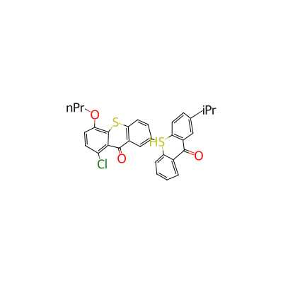 CCCOc1ccc(Cl)c2c(=O)c3cc([SH]4c5ccccc5C(=O)c5cc(C(C)C)ccc54)ccc3sc12